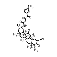 Cn1ccc(C(=O)NCC(=O)N[C@@]2(C)CC[C@@]3(C)CC[C@@]4(C)[C@]5(C)CC[C@H]6C(C)(C)C(=O)C(C#N)=C[C@]6(C)C5=CC(=O)[C@]4(O)[C@@H]3C2)n1